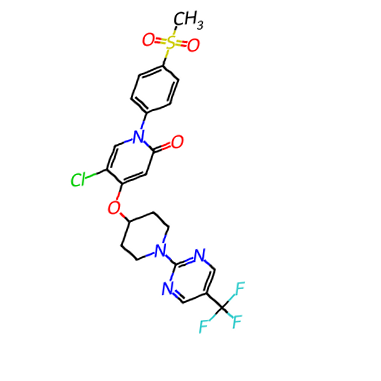 CS(=O)(=O)c1ccc(-n2cc(Cl)c(OC3CCN(c4ncc(C(F)(F)F)cn4)CC3)cc2=O)cc1